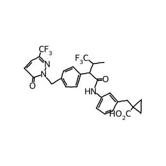 CC(C(C(=O)Nc1cccc(CC2(C(=O)O)CC2)c1)c1ccc(Cn2nc(C(F)(F)F)ccc2=O)cc1)C(F)(F)F